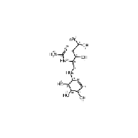 CCCC(O)CC(O)C(CNC1C=CC(O)C(O)C1O)NC(N)=S